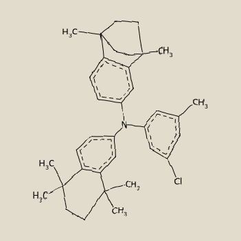 Cc1cc(Cl)cc(N(c2ccc3c(c2)C(C)(C)CCC3(C)C)c2ccc3c(c2)C2(C)CCC3(C)CC2)c1